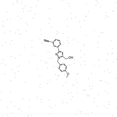 COc1ccc(Cn2nc(-c3cccc(C#N)c3)cc2CO)cc1